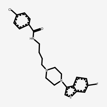 O=C(NCCCCN1CCN(c2csc3cc(F)ccc23)CC1)c1ccc(Cl)cc1